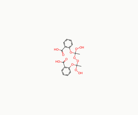 CC(OO)(OOC(C)(OO)Oc1ccccc1C(=O)O)Oc1ccccc1C(=O)O